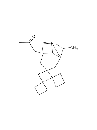 CC(=O)CC12CC3(CC45C(N)CC1C4C25)CC1(CCC1)C31CCC1